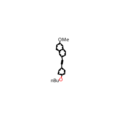 CCCCOc1ccc(C#Cc2ccc3cc(OC)ccc3c2)cc1